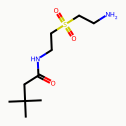 CC(C)(C)CC(=O)NCCS(=O)(=O)CCN